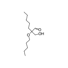 CCCCCOC(C=O)(CO)CCCCC